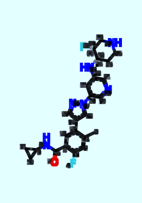 Cc1cc(F)c(C(=O)NC2CC2)cc1-c1cnn(-c2cncc(N[C@H]3CCNC[C@H]3F)c2)c1